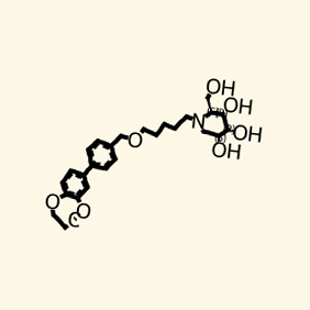 OC[C@H]1[C@@H](O)[C@H](O)[C@@H](O)CN1CCCCCOCc1ccc(-c2ccc3c(c2)OCCCO3)cc1